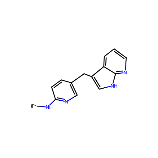 CC(C)Nc1ccc(Cc2c[nH]c3ncccc23)cn1